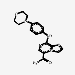 NC(=O)c1cnc(Nc2ccc(N3CCOCC3)cc2)c2nccn12